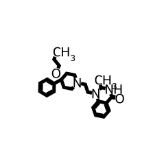 CCCOC1(c2ccccc2)CCN(CCN2c3ccccc3C(=O)NC2C)CC1